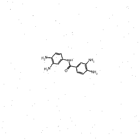 Nc1ccc(NC(=O)c2ccc(N)c(N)c2)cc1N